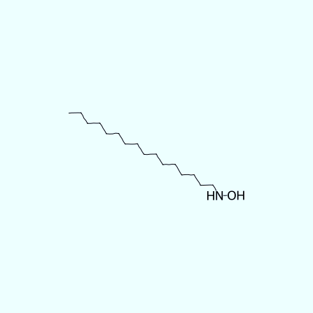 CCCCCCCCCCCCCCCCNO